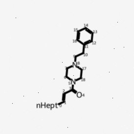 CCCCCCCC=CC(=O)N1CCN(CCc2ccccc2)CC1